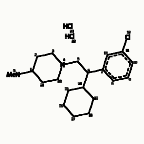 CNC1CCN(CC(c2cccc(Cl)c2)C2CCCCC2)CC1.Cl.Cl